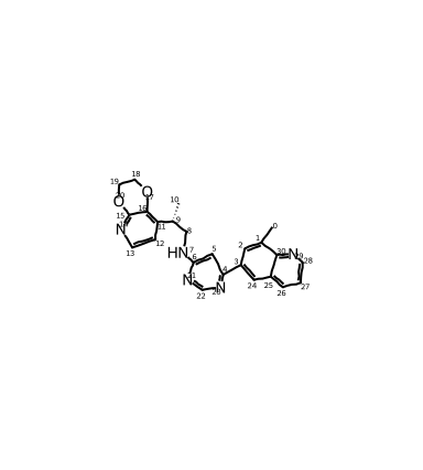 Cc1cc(-c2cc(NC[C@@H](C)c3ccnc4c3OCCO4)ncn2)cc2cccnc12